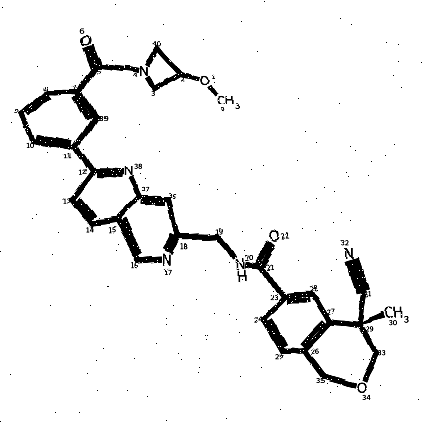 COC1CN(C(=O)c2cccc(-c3ccc4cnc(CNC(=O)c5ccc6c(c5)[C@](C)(C#N)COC6)cc4n3)c2)C1